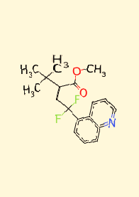 COC(=O)C(CC(F)(F)c1cccc2ncccc12)C(C)(C)C